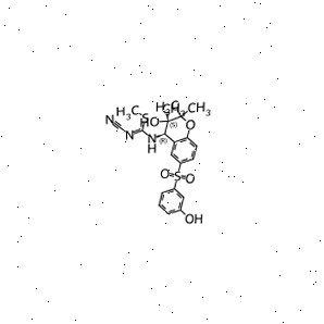 CSC(=NC#N)N[C@@H]1c2cc(S(=O)(=O)c3cccc(O)c3)ccc2OC(C)(C)[C@@]1(C)O